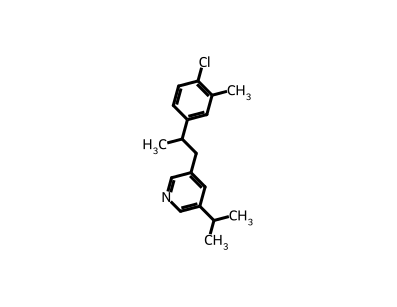 Cc1cc(C(C)Cc2cncc(C(C)C)c2)ccc1Cl